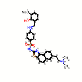 COc1cccc(CNc2ccc(S(=O)(=O)Nc3nc4c(ccc5cc(CCN(C)C)ccc54)s3)cc2)c1O